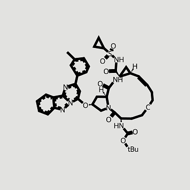 Cc1cccc(-c2cc(O[C@@H]3C[C@H]4C(=O)N[C@]5(C(=O)NS(=O)(=O)C6CC6)C[C@H]5/C=C\CCCCC[C@H](NC(=O)OC(C)(C)C)C(=O)N4C3)n3nc4ccccc4c3n2)c1